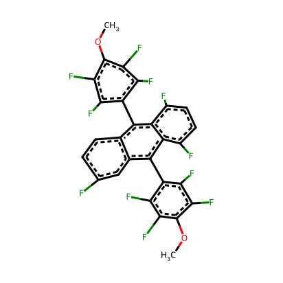 COc1c(F)c(F)c(-c2c3ccc(F)cc3c(-c3c(F)c(F)c(OC)c(F)c3F)c3c(F)ccc(F)c23)c(F)c1F